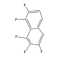 Fc1[c]c2ccc(F)c(F)c2c(F)c1F